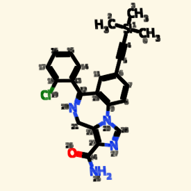 C[Si](C)(C)C#Cc1ccc2c(c1)C(c1ccccc1Cl)=NCc1c(C(N)=O)ncn1-2